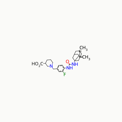 C[C@]12CC3CC(NC(=O)Nc4ccc(CN5CCCC(C(=O)O)C5)cc4F)(C1)C[C@@](C)(C3)C2